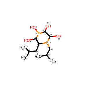 CC(C)CC1C(O)P(O)C(O)C(O)P1CC(C)C